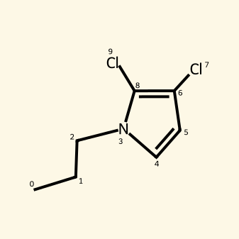 CCCn1ccc(Cl)c1Cl